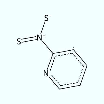 S=[N+]([S-])c1[c]cccn1